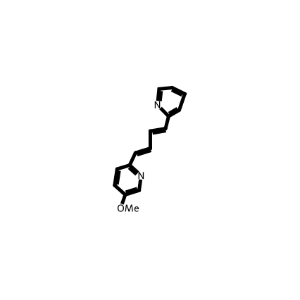 COc1ccc(/C=C/C=C/c2ccccn2)nc1